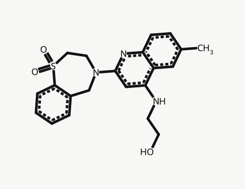 Cc1ccc2nc(N3CCS(=O)(=O)c4ccccc4C3)cc(NCCO)c2c1